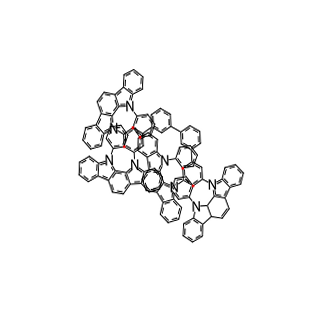 C1=CC2c3ccccc3N(c3ccccc3)C2c2c1c1ccccc1n2-c1cc(-c2cccc(-c3cccc(-c4cc(-n5c6ccccc6c6ccc7c8ccccc8n(-c8ccccc8)c7c65)cc(-n5c6ccccc6c6ccc7c8ccccc8n(-c8ccccc8)c7c65)c4)c3)c2)cc(-n2c3ccccc3c3ccc4c5ccccc5n(-c5ccccc5)c4c32)c1